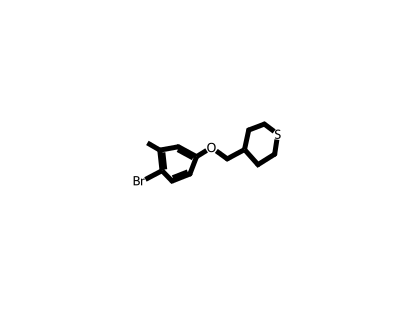 Cc1cc(OCC2CCSCC2)ccc1Br